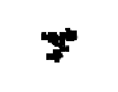 COc1ccc2c(Oc3ccccc3C)nc(Nc3cc(C)[nH]n3)cc2c1